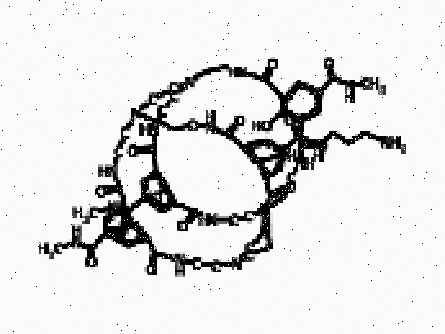 CNC(=O)c1cc2c(O)c(c1)C(=O)NCCN1CCNC(=O)c3cc(C(=O)NC)cc(c3O)C(=O)NCCN(CCNC2=O)CCN2CCNC(=O)c3cc(C(=O)NC)cc(c3O)C(=O)NCCN(CCNC(=O)c3cc(C(=O)NCCCN)cc(c3O)C(=O)NCC2)CC1